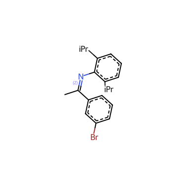 C/C(=N/c1c(C(C)C)cccc1C(C)C)c1cccc(Br)c1